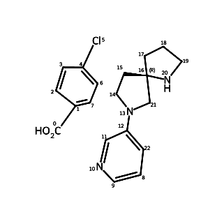 O=C(O)c1ccc(Cl)cc1.c1cncc(N2CC[C@]3(CCCN3)C2)c1